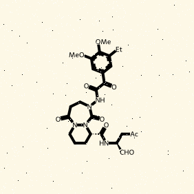 CCc1cc(C(=O)C(=O)NN2CCC(=O)N3CCC[C@@H](C(=O)N[C@H](C=O)CC(C)=O)N3C2=O)cc(OC)c1OC